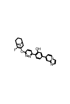 Oc1cc(-c2ccn3ccnc3c2)ccc1-c1ccc(O[C@@H]2CC3CCCC(N3)[C@@H]2F)nn1